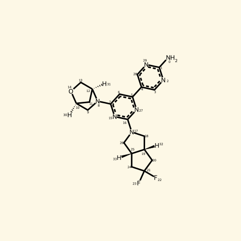 Nc1ncc(-c2cc(N3C[C@@H]4C[C@H]3CO4)nc(N3C[C@@H]4CC(F)(F)C[C@@H]4C3)n2)cn1